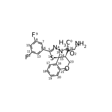 CC(=O)N1N=C(c2cc(F)cc(F)c2)S[C@@]12c1ccccc1OC[C@@H]2CCN